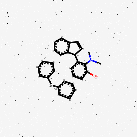 CN(C)c1c(O)cccc1C1C=Cc2ccccc21.c1cc[c]([Zr][c]2ccccc2)cc1